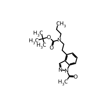 CCCN(CCc1cccc2c1cnn2C(C)=O)C(=O)OC(C)(C)C